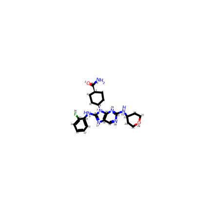 NC(=O)[C@H]1CC[C@H](n2c(Nc3ccccc3F)nc3cnc(NC4CCOCC4)nc32)CC1